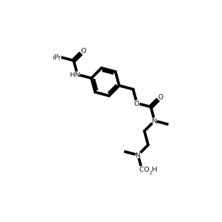 CC(C)C(=O)Nc1ccc(COC(=O)N(C)CCN(C)C(=O)O)cc1